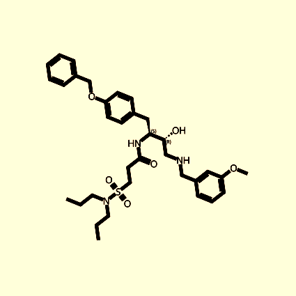 CCCN(CCC)S(=O)(=O)CCC(=O)N[C@@H](Cc1ccc(OCc2ccccc2)cc1)[C@H](O)CNCc1cccc(OC)c1